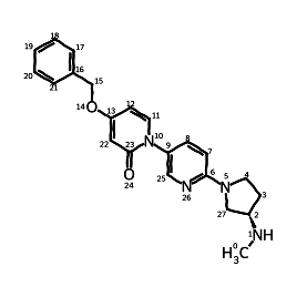 CN[C@@H]1CCN(c2ccc(-n3ccc(OCc4ccccc4)cc3=O)cn2)C1